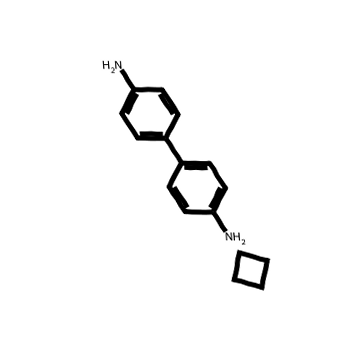 C1CCC1.Nc1ccc(-c2ccc(N)cc2)cc1